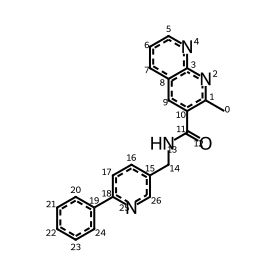 Cc1nc2ncccc2cc1C(=O)NCc1ccc(-c2ccccc2)nc1